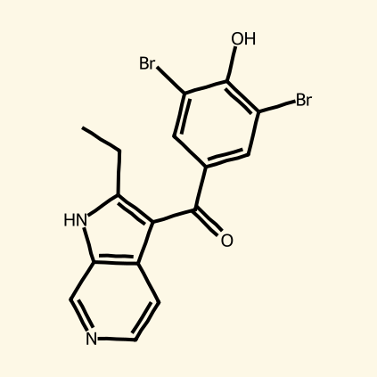 CCc1[nH]c2cnccc2c1C(=O)c1cc(Br)c(O)c(Br)c1